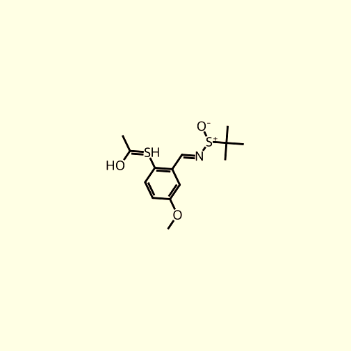 COc1ccc([SH]=C(C)O)c(/C=N/[S+]([O-])C(C)(C)C)c1